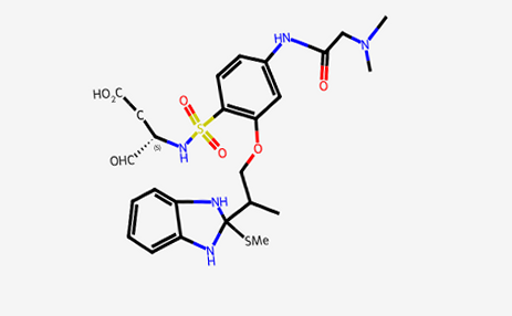 CSC1(C(C)COc2cc(NC(=O)CN(C)C)ccc2S(=O)(=O)N[C@H](C=O)CC(=O)O)Nc2ccccc2N1